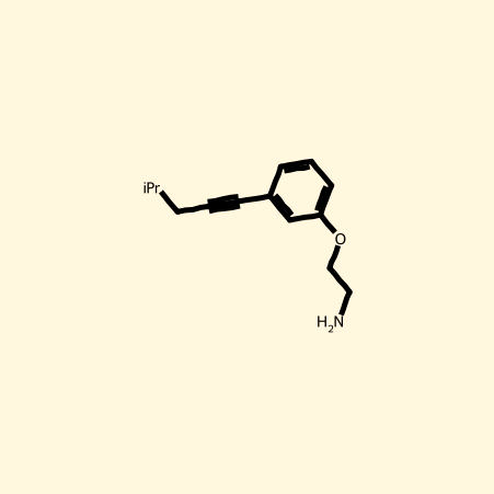 CC(C)CC#Cc1cccc(OCCN)c1